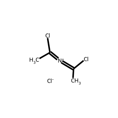 CC(Cl)=[N+]=C(C)Cl.[Cl-]